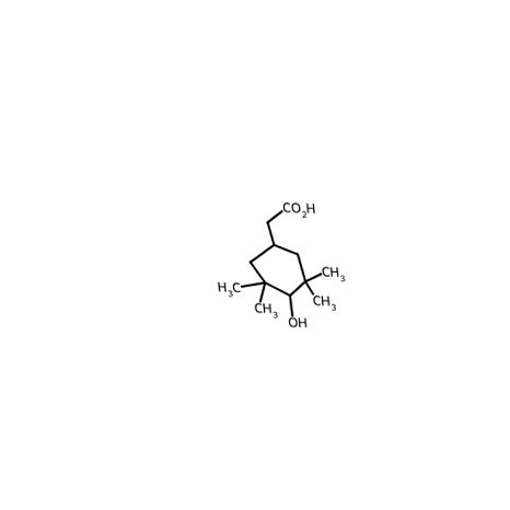 CC1(C)CC(CC(=O)O)CC(C)(C)C1O